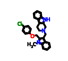 Cn1c(COc2ccc(Cl)cc2)c(CN2CCc3c([nH]c4ccccc34)C2)c2ccccc21